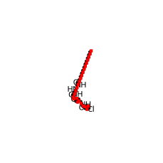 CCC=CCC=CCC=CCC=CCC=CCC=CCCC(=O)NCCNCCNC(=O)C(C)(C)Oc1ccc(CCNC(=O)c2ccc(Cl)cc2)cc1